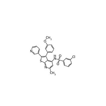 COc1cccc(-c2c(-c3cccnc3)sc3nc(C)cc(NS(=O)(=O)c4cccc(Cl)c4)c23)c1